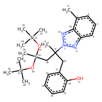 Cc1cccc2nn(C(C)(Cc3ccccc3O)C[Si](C)(O[Si](C)(C)C)O[Si](C)(C)C)nc12